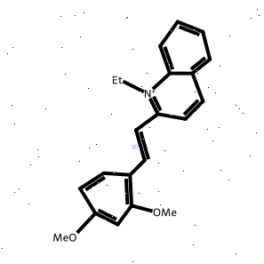 CC[n+]1c(/C=C/c2ccc(OC)cc2OC)ccc2ccccc21